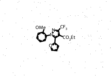 CCOC(=O)c1c(C(F)(F)F)nn(-c2ccccc2OC)c1-c1ccco1